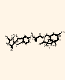 CN1C(=O)NC(=O)[C@@]12Cc1ccc(NC(=O)CN(Cc3cc(F)cc(F)c3)C(=O)C3(C(F)(F)F)CCC3)cc1C2